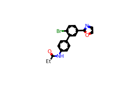 CCC(=O)Nc1ccc(-c2cc(-c3ncco3)ccc2Br)cc1